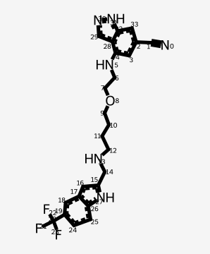 N#Cc1cc(NCCOCCCCNCc2cc3cc(C(F)(F)F)ccc3[nH]2)c2cn[nH]c2c1